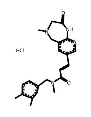 Cc1ccc(CN(C)C(=O)C=Cc2cnc3c(c2)CN(C)CC(=O)N3)cc1C.Cl